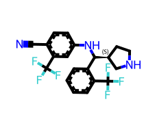 N#Cc1ccc(NC(c2ccccc2C(F)(F)F)[C@H]2CCNC2)cc1C(F)(F)F